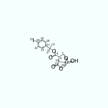 CC(C)(OC(=O)C1C2OC3C(OC(=O)C31)C2O)c1ccc(I)cc1